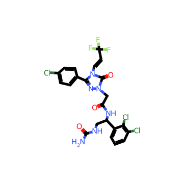 NC(=O)NCC(NC(=O)Cn1nc(-c2ccc(Cl)cc2)n(C=CC(F)(F)F)c1=O)c1cccc(Cl)c1Cl